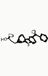 O=C(O)Cc1ccc2c(c1)sc1ccc(C(=O)c3ccccc3)cc12